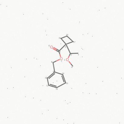 COC(C)C1(C(=O)OCc2ccccc2)CCC1